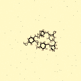 COc1ccc(CNc2ncc(CN3CCN(Cc4cncn4Cc4ccc(F)cc4)CC3=O)s2)c(OC)c1